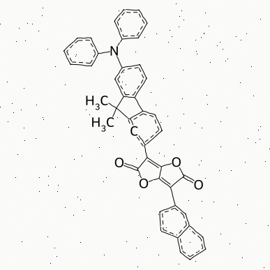 CC1(C)c2cc(C3=C4OC(=O)C(c5ccc6ccccc6c5)=C4OC3=O)ccc2-c2ccc(N(c3ccccc3)c3ccccc3)cc21